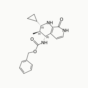 C[C@@H]1[C@@H](NC(=O)OCc2ccccc2)c2cc[nH]c(=O)c2N[C@H]1C1CC1